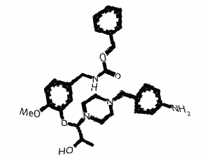 COc1ccc(CNC(=O)OCc2ccccc2)cc1OC(C(C)O)N1CCN(Cc2ccc(N)cc2)CC1